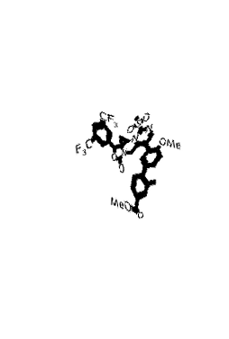 COC(=O)c1ccc(-c2ccc(OC)c(-c3cnc(S(C)(=O)=O)nc3CN3C(=O)OC(c4cc(C(F)(F)F)cc(C(F)(F)F)c4)C34CC4)c2)c(C)c1